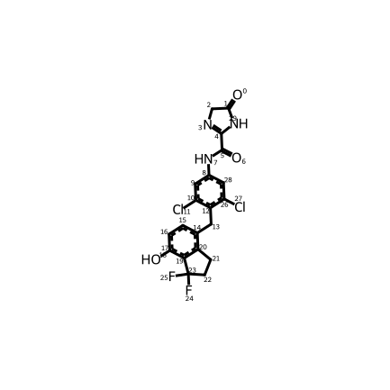 O=C1CN=C(C(=O)Nc2cc(Cl)c(Cc3ccc(O)c4c3CCC4(F)F)c(Cl)c2)N1